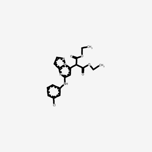 CCOC(=O)C(C(=O)OCC)c1cc(Nc2cccc(Cl)c2)nc2ccnn12